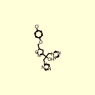 OC(Cn1cncn1)(Cn1cncn1)C1=NOC(COc2ccc(Cl)cc2)C1